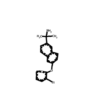 CCc1ccccc1Oc1ccc2cc(C(C)(C)N)ccc2c1